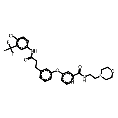 O=C(CCc1cccc(Oc2ccnc(C(=O)NCCN3CCOCC3)c2)c1)Nc1ccc(Cl)c(C(F)(F)F)c1